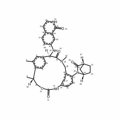 Cc1cc2ccc1[C@@H](C)COC(=O)Nc1ccc(N3C(=O)[C@@H]4CC[C@H]3C4)c(c1)CN(C)C(=O)[C@@H]2Nc1ccc2cc[nH]c(=O)c2c1